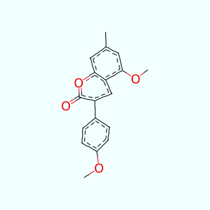 COc1ccc(-c2cc3c(OC)cc(C)cc3oc2=O)cc1